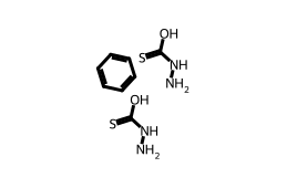 NNC(O)=S.NNC(O)=S.c1ccccc1